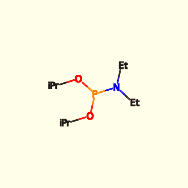 CCN(CC)P(OC(C)C)OC(C)C